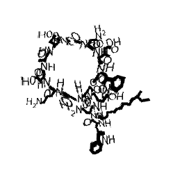 CCC(C)CCCCCCCCC(=O)NC(Cc1c[nH]c2ccccc12)C(=O)NC(CC(N)=O)C(=O)NC(CC(=O)O)C(=O)NC1C(=O)NCC(=O)NC(CCCN)C(=O)NC(CC(=O)O)C(=O)NC(C)C(=O)NC(CC(=O)O)C(=O)NCC(=O)NC(CC(N)=O)C(=O)NC(C(C)CC(=O)O)C(=O)NC(Cc2c[nH]c3ccccc23)C(=O)OC1C